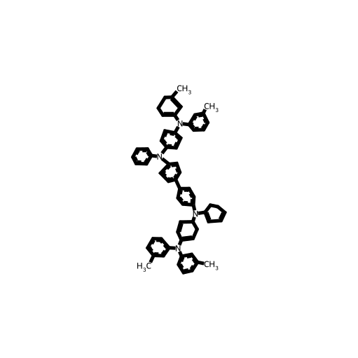 CC1=CC(N(c2ccc(N(c3ccccc3)c3ccc(-c4ccc(N(C5=CC=CCC5)C5C=CC(N(c6cccc(C)c6)c6cccc(C)c6)=CC5)cc4)cc3)cc2)c2cccc(C)c2)=CCC1